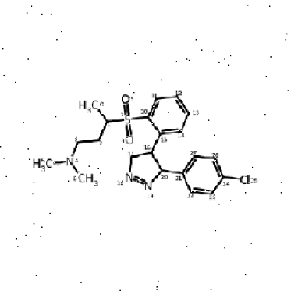 CC(CCN(C)C)S(=O)(=O)c1ccccc1C1CN=NC1c1ccc(Cl)cc1